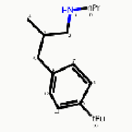 CCCNCC(C)Cc1ccc(C(C)(C)C)cc1